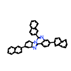 C1=CC2C(C=C1c1ccc3ccccc3c1)N=C1c3ccc(-c4ccc5ccccc5c4)cc3N=C(c3ccc4ccccc4c3)N12